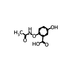 CC(=O)NOc1ccc(O)cc1C(=O)O